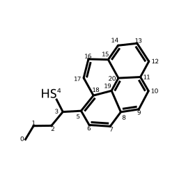 CCCC(S)c1ccc2ccc3cccc4ccc1c2c34